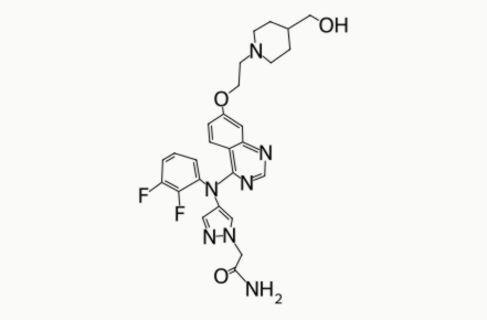 NC(=O)Cn1cc(N(c2cccc(F)c2F)c2ncnc3cc(OCCN4CCC(CO)CC4)ccc23)cn1